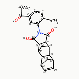 COC(=O)c1ccc(C)c(N2C(=O)C3C4CC(C3C2=O)C2C3C=CC(C3)C42)c1